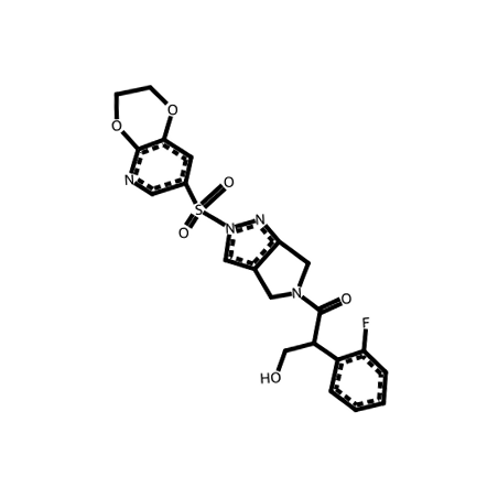 O=C(C(CO)c1ccccc1F)N1Cc2cn(S(=O)(=O)c3cnc4c(c3)OCCO4)nc2C1